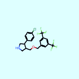 FC(F)(F)c1cc(COCC2CNCC2c2ccc(Cl)cc2)cc(C(F)(F)F)c1